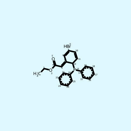 Br.CCOC(=O)C=C1C=CC=CC1P(c1ccccc1)c1ccccc1